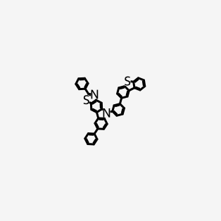 c1ccc(-c2ccc3c(c2)c2cc4sc(-c5ccccc5)nc4cc2n3-c2cccc(-c3ccc4sc5ccccc5c4c3)c2)cc1